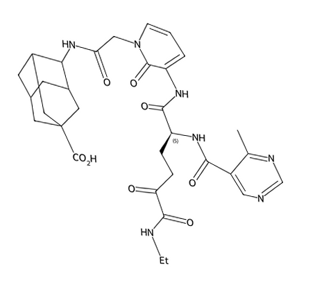 CCNC(=O)C(=O)CC[C@H](NC(=O)c1cncnc1C)C(=O)Nc1cccn(CC(=O)NC2C3CC4CC2CC(C(=O)O)(C4)C3)c1=O